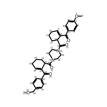 COc1ccc(C(=O)C2=CCCCC2C(=O)N2CCN(C(=O)C3CCCC=C3C(=O)c3ccc(CO)cc3)CC2)cc1